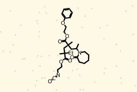 CCC(C)(CC(C)(CC(C)N1CCCCCC1=O)C(=O)OCCOc1ccccc1)C(=O)OCCN=C=O